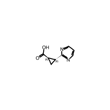 O=C(O)[C@@H]1C[C@H]1c1ncccn1